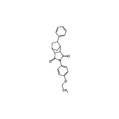 CCOc1ccc(N2C(=O)C3C4CC(c5ccccc5)C(C4)C3C2=O)cc1